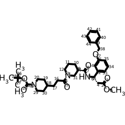 COC(=O)C[C@H](NC(=O)[C@@H]1CCCN(C(=O)CCC2CCN(C(=O)OC(C)(C)C)CC2)C1)c1cccc(OCc2ccccc2)c1